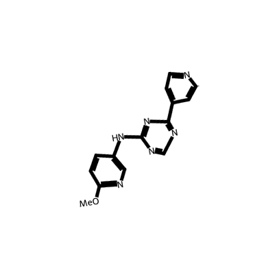 COc1ccc(Nc2ncnc(-c3c[c]ncc3)n2)cn1